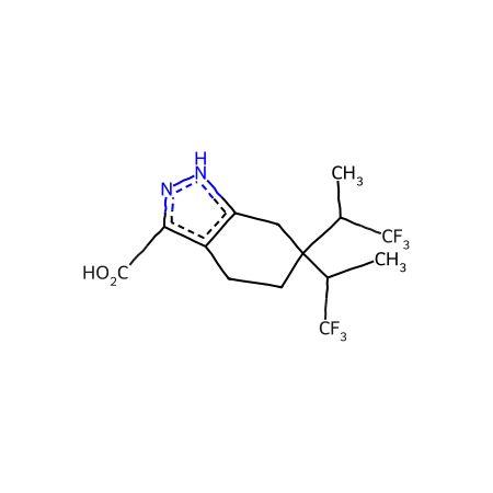 CC(C(F)(F)F)C1(C(C)C(F)(F)F)CCc2c(C(=O)O)n[nH]c2C1